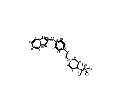 CN(C1CCN(CCc2ccc(OC3=NC4C=CC=CC4S3)cc2)CC1)S(C)(=O)=O